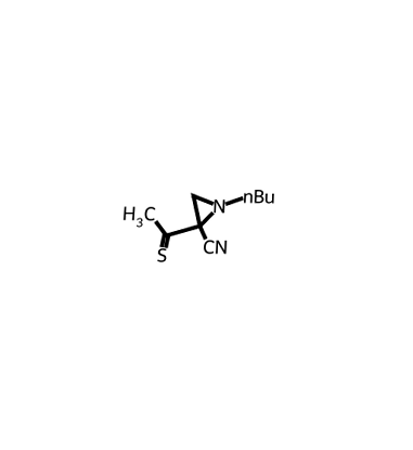 CCCCN1CC1(C#N)C(C)=S